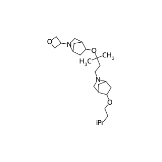 CC(C)CCOC1CC2CC1CN2CCC(C)(C)OC1CC2CC1CN2C1COC1